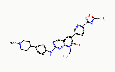 CCn1c(=O)c(-c2ccc(-c3noc(C)n3)nc2)cc2cnc(Nc3ccc(C4CCN(C)CC4)cc3)nc21